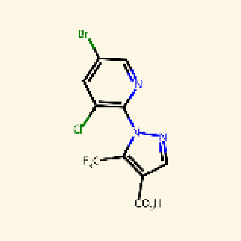 O=C(O)c1cnn(-c2ncc(Br)cc2Cl)c1C(F)(F)F